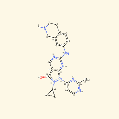 CN1CCc2ccc(Nc3ncc4c(=O)n(C5CC5)n(-c5ccnc(C(C)(C)C)n5)c4n3)cc2C1